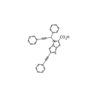 O=C(O)c1cc2sc(C#Cc3ccccc3)cc2n1C(C#Cc1ccccc1)c1ccccc1